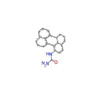 NC(=O)Nc1ccc2cccc3c4cccc5cccc(c1c23)c54